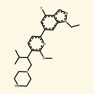 CCn1ncc2c(F)cc(-c3ccc(C(CN4CCNCC4)C(C)C)c(OC)n3)cc21